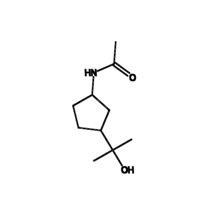 CC(=O)NC1CCC(C(C)(C)O)C1